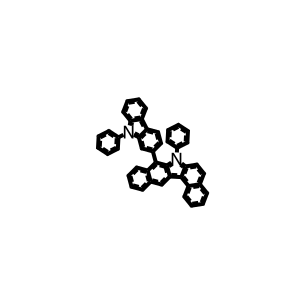 c1ccc(-n2c3ccccc3c3ccc(-c4c5ccccc5cc5c6c7ccccc7ccc6n(-c6ccccc6)c45)cc32)cc1